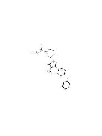 Cc1c(C(N)=O)c(-c2ccc(Oc3ccccc3)cc2)nn1C1CCCN(C(=O)OC(C)(C)C)C1